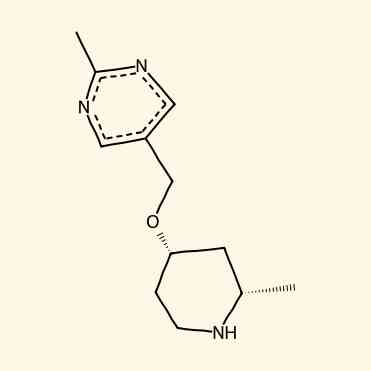 Cc1ncc(CO[C@H]2CCN[C@@H](C)C2)cn1